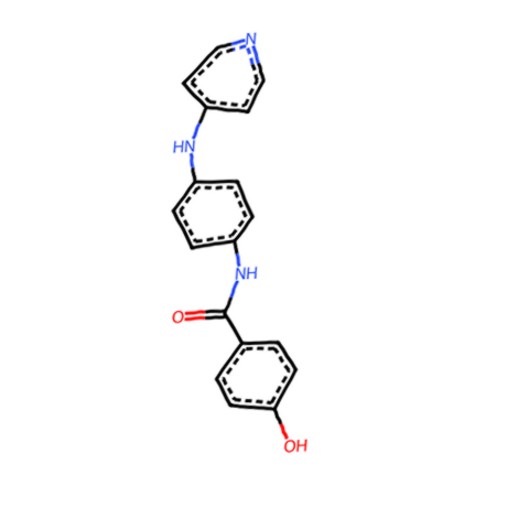 O=C(Nc1ccc(Nc2ccncc2)cc1)c1ccc(O)cc1